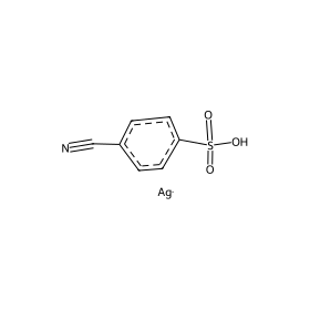 N#Cc1ccc(S(=O)(=O)O)cc1.[Ag]